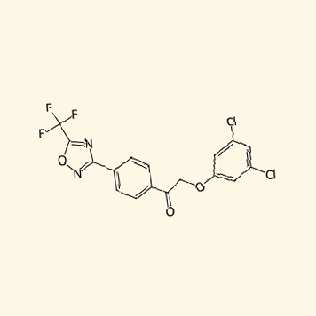 O=C(COc1cc(Cl)cc(Cl)c1)c1ccc(-c2noc(C(F)(F)F)n2)cc1